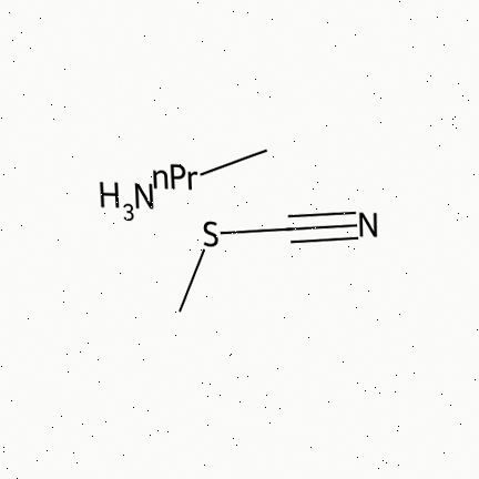 CCCC.CSC#N.N